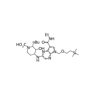 CCCCC1C(O)C(Nc2cnc3c(n2)c(C(=O)NCC)cn3COCC[Si](C)(C)C)CCN1C(=O)O